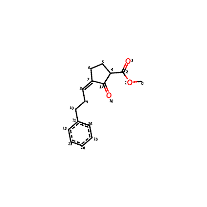 COC(=O)C1CCC(=CCCc2ccccc2)C1=O